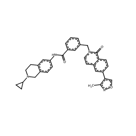 Cc1nocc1-c1ccc2c(=O)n(Cc3cccc(C(=O)Nc4ccc5c(c4)CCN(C4CC4)C5)c3)ccc2c1